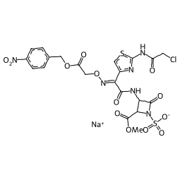 COC(=O)C1C(NC(=O)C(=NOCC(=O)OCc2ccc([N+](=O)[O-])cc2)c2csc(NC(=O)CCl)n2)C(=O)N1S(=O)(=O)[O-].[Na+]